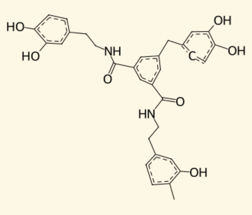 Cc1ccc(CCNC(=O)c2cc(Cc3ccc(O)c(O)c3)cc(C(=O)NCCc3ccc(O)c(O)c3)c2)cc1O